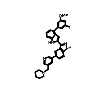 COc1cc(F)cc(-c2cccc3[nH]c(-c4n[nH]c5ccc(-c6cncc(CN7CCCCC7)c6)cc45)cc23)c1